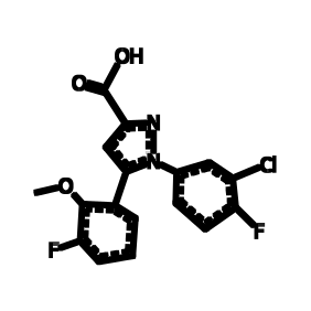 COc1c(F)cccc1-c1cc(C(=O)O)nn1-c1ccc(F)c(Cl)c1